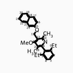 CCc1cccc(CC)c1-c1nc(C)c(COc2ccc3ccccc3c2)c(OC)c1C